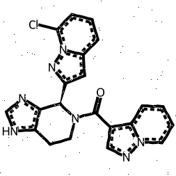 O=C(c1cnn2ccccc12)N1CCc2[nH]cnc2[C@H]1c1cc2cccc(Cl)n2n1